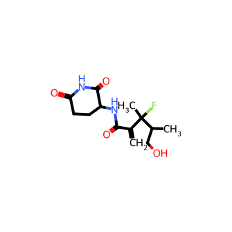 C=C(C(=O)NC1CCC(=O)NC1=O)C(C)(F)C(C)CO